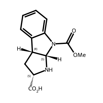 COC(=O)N1c2ccccc2[C@H]2C[C@@H](C(=O)O)N[C@H]21